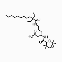 CCCCCCCCCC(CC)(CC)C(=O)NCCCC(CC(=O)O)NC(=O)C1OC(C)(C)OCC1(C)C